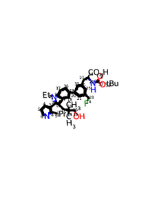 CCn1c(-c2cccnc2C(C)C)c(CC(C)(C)CO)c2cc(-c3cc(CF)cc(C[C@H](NC(=O)OC(C)(C)C)C(=O)O)c3)ccc21